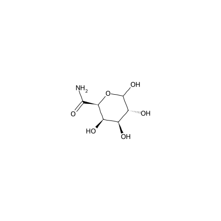 NC(=O)[C@H]1OC(O)[C@H](O)[C@@H](O)[C@H]1O